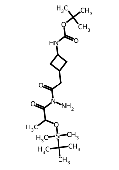 CC(O[Si](C)(C)C(C)(C)C)C(=O)N(N)C(=O)CC1CC(NC(=O)OC(C)(C)C)C1